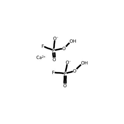 O=P([O-])(F)OO.O=P([O-])(F)OO.[Ca+2]